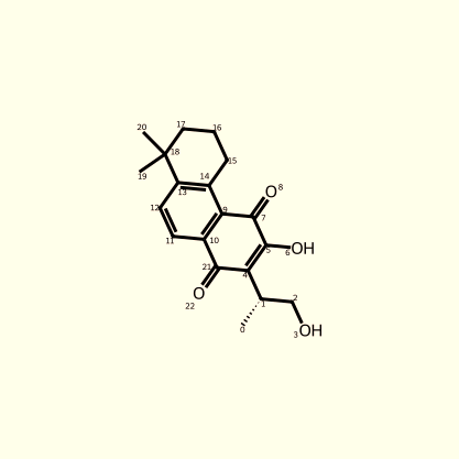 C[C@@H](CO)C1=C(O)C(=O)c2c(ccc3c2CCCC3(C)C)C1=O